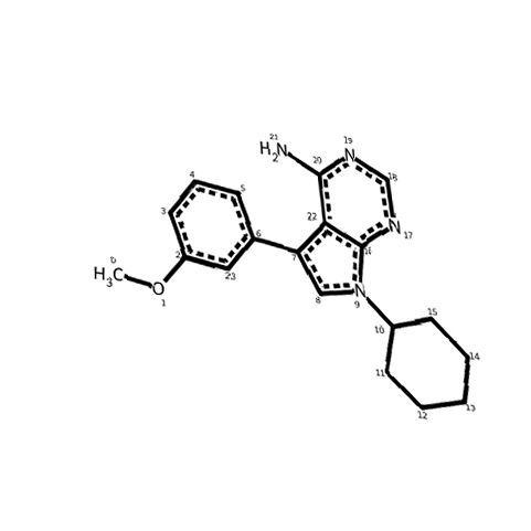 COc1cccc(-c2cn(C3CCCCC3)c3ncnc(N)c23)c1